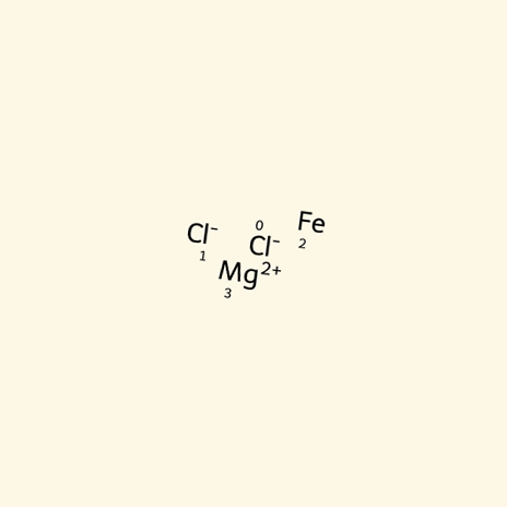 [Cl-].[Cl-].[Fe].[Mg+2]